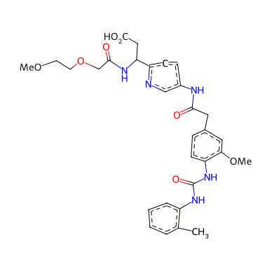 COCCOCC(=O)NC(CC(=O)O)c1ccc(NC(=O)Cc2ccc(NC(=O)Nc3ccccc3C)c(OC)c2)cn1